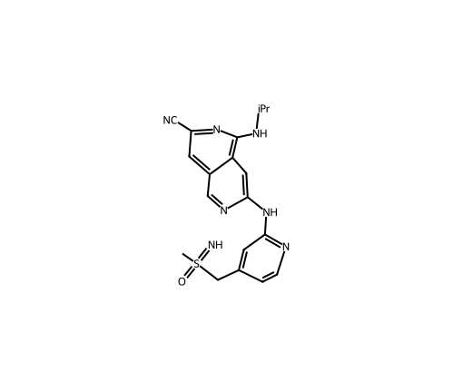 CC(C)Nc1nc(C#N)cc2cnc(Nc3cc(CS(C)(=N)=O)ccn3)cc12